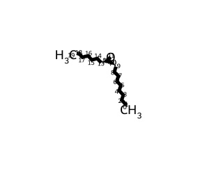 CCCCCCCCCC[C@H]1O[C@H]1CCCCCCC